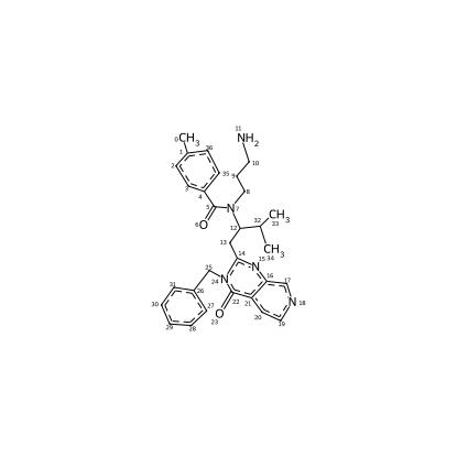 Cc1ccc(C(=O)N(CCCN)C(Cc2nc3cnccc3c(=O)n2Cc2ccccc2)C(C)C)cc1